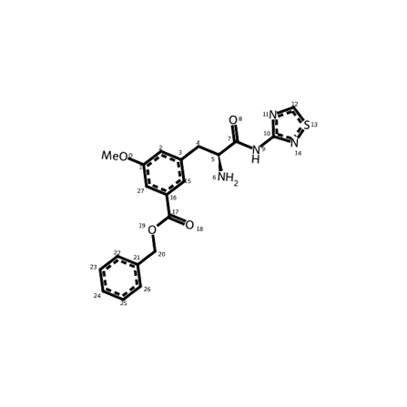 COc1cc(C[C@H](N)C(=O)Nc2ncsn2)cc(C(=O)OCc2ccccc2)c1